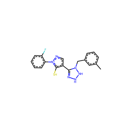 Cc1cccc(CN2NNN=C2c2cnn(-c3ccccc3F)c2S)c1